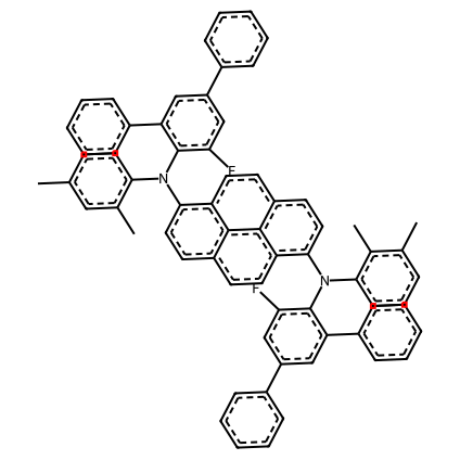 Cc1ccc(N(c2c(F)cc(-c3ccccc3)cc2-c2ccccc2)c2ccc3ccc4c(N(c5cccc(C)c5C)c5c(F)cc(-c6ccccc6)cc5-c5ccccc5)ccc5ccc2c3c54)c(C)c1